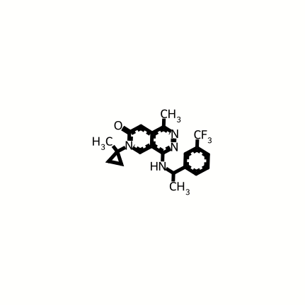 Cc1nnc(NC(C)c2cccc(C(F)(F)F)c2)c2cn(C3(C)CC3)c(=O)cc12